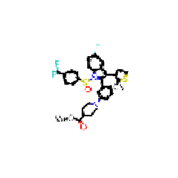 COC(=O)C1CCN(c2cccc(-c3c(-c4ccsc4C#N)c4cc(F)ccc4n3[S+]([O-])c3ccc(C(F)F)cc3)c2)CC1